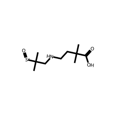 CC(C)(CNCCC(C)(C)C(=O)O)[S+]=O